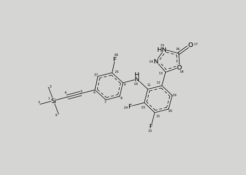 C[Si](C)(C)C#Cc1ccc(Nc2c(-c3n[nH]c(=O)o3)ccc(F)c2F)c(F)c1